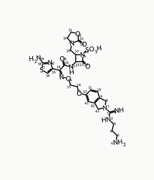 N=C(NCCCN)N1Cc2ccc(OCCO/N=C(\C(=O)NC3C(=O)N(S(=O)(=O)O)C3CN3CCOC3=O)c3csc(N)n3)cc2C1